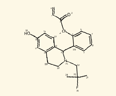 C=CC(=O)Oc1ccccc1C1c2ccc(O)cc2CCN1CC(C)(C)F